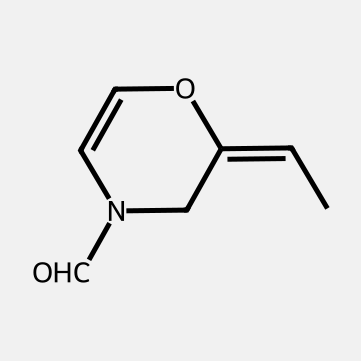 CC=C1CN(C=O)C=CO1